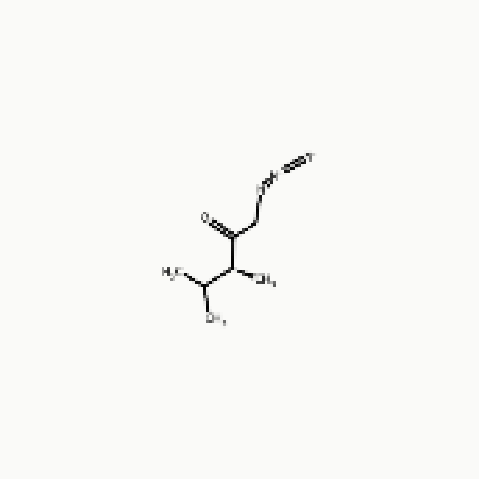 CC(C)[C@H](C)C(=O)CN=[N+]=[N-]